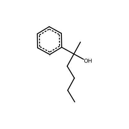 CCCCC(C)(O)c1[c]cccc1